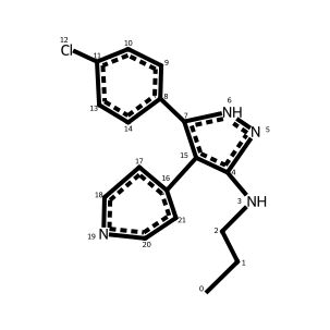 CCCNc1n[nH]c(-c2ccc(Cl)cc2)c1-c1ccncc1